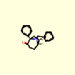 N#C[C@@H]1C[C@@]2(c3ccccc3)C(=O)CC[C@@H]1N2Cc1ccccc1